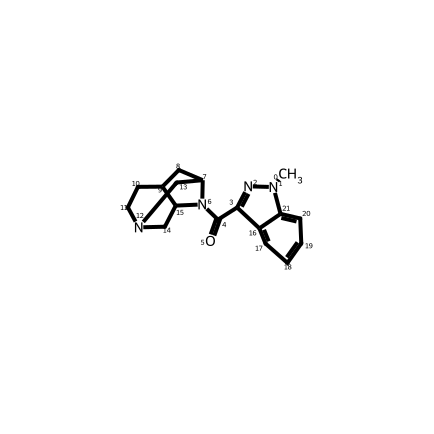 Cn1nc(C(=O)N2C3CC4CCN(C3)CC42)c2ccccc21